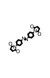 O=C1C=CC(=O)N1c1ccc(N=Nc2ccc(N3C(=O)C=CC3=O)cc2)cc1